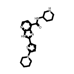 O=C(NC1CCCNC1)c1ccnc2[nH]c(-c3ccc(N4CCCCC4)s3)nc12